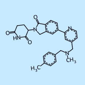 Cc1ccc(CN(C)Cc2ccnc(-c3ccc4c(c3)CN(C3CCC(=O)NC3=O)C4=O)c2)cc1